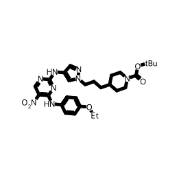 CCOc1ccc(Nc2nc(Nc3cnn(CCCC4CCN(C(=O)OC(C)(C)C)CC4)c3)ncc2[N+](=O)[O-])cc1